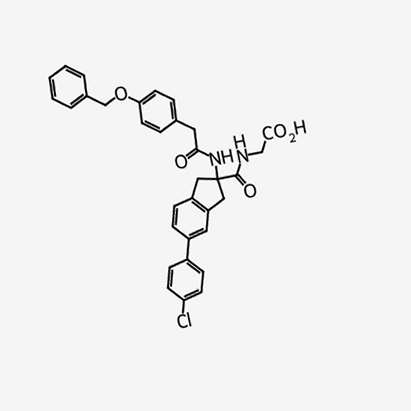 O=C(O)CNC(=O)C1(NC(=O)Cc2ccc(OCc3ccccc3)cc2)Cc2ccc(-c3ccc(Cl)cc3)cc2C1